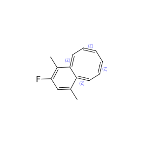 Cc1cc(F)c(C)c2/c1=C\C=C/C=C\C=2